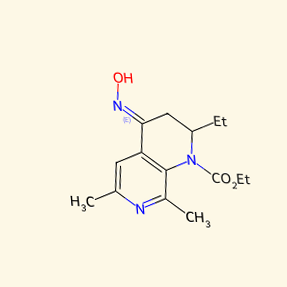 CCOC(=O)N1c2c(cc(C)nc2C)/C(=N/O)CC1CC